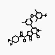 Cc1cc(Oc2c(C)cc(F)cc2C)cc(-c2cn(C)c(=O)c3[nH]c(C(=O)NC4CCC(F)(F)CC4)cc23)c1